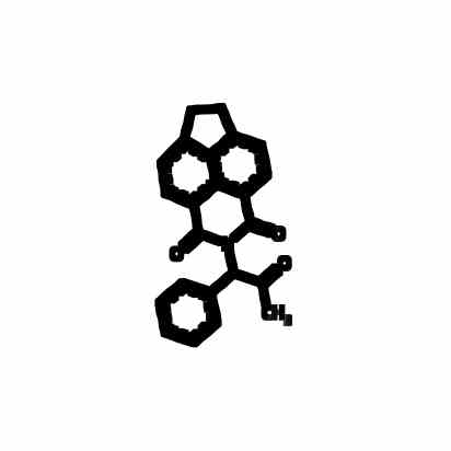 CC(=O)C(c1ccccc1)N1C(=O)c2ccc3c4c(ccc(c24)C1=O)CC3